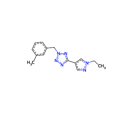 CCn1cc(-c2nnn(Cc3cccc(C)c3)n2)cn1